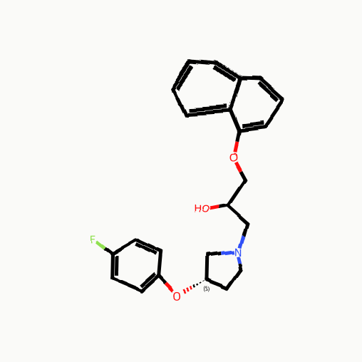 OC(COc1cccc2ccccc12)CN1CC[C@H](Oc2ccc(F)cc2)C1